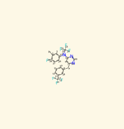 Cc1cc(N(c2cc(Cc3cccc(C(F)(F)F)c3)ncn2)C(F)(F)F)ccc1F